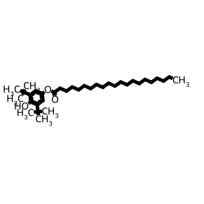 CCCCCCCCCCCCCCCCCCCCC(=O)Oc1cc(C(C)(C)C)c(O)c(C(C)(C)C)c1